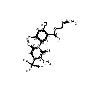 C=CCSC(=O)c1cc(-n2c(=O)cc(C(F)(F)F)n(C)c2=O)c(F)cc1Cl